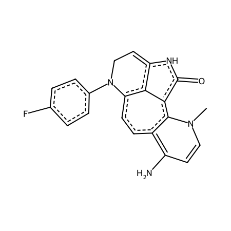 CN1C=CC(N)=c2ccc3c4c([nH]c(=O)c-4c21)=CCN3c1ccc(F)cc1